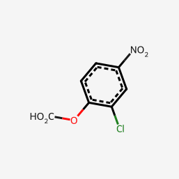 O=C(O)Oc1ccc([N+](=O)[O-])cc1Cl